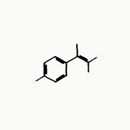 C/C(=C(\C#N)C(=O)O)c1ccc([N+](=O)[O-])cc1